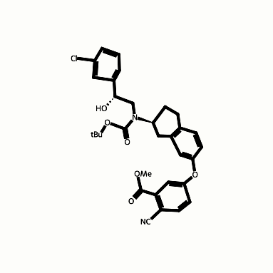 COC(=O)c1cc(Oc2ccc3c(c2)C[C@@H](N(C[C@H](O)c2cccc(Cl)c2)C(=O)OC(C)(C)C)CC3)ccc1C#N